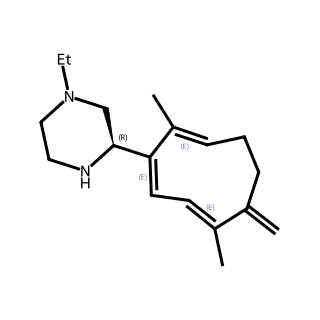 C=C1CC/C=C(C)/C([C@@H]2CN(CC)CCN2)=C\C=C\1C